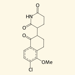 COc1c(Cl)ccc2c1CCC(C1CCC(=O)NC1=O)C2=O